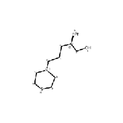 CCC[C@@H](CO)CCCN1CCSCC1